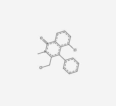 Cn1c(CCl)c(-c2ccccc2)c2c(Cl)cccc2c1=O